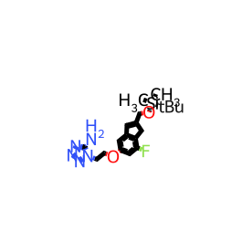 CC(C)(C)[Si](C)(C)OCC1=Cc2cc(OCCn3nnnc3N)cc(F)c2C1